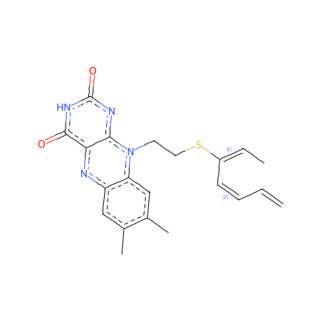 C=C/C=C\C(=C/C)SCCn1c2nc(=O)[nH]c(=O)c-2nc2cc(C)c(C)cc21